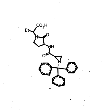 CCC(C(=O)O)N1CC[C@H](NC(=O)C2C[N@]2C(c2ccccc2)(c2ccccc2)c2ccccc2)C1=O